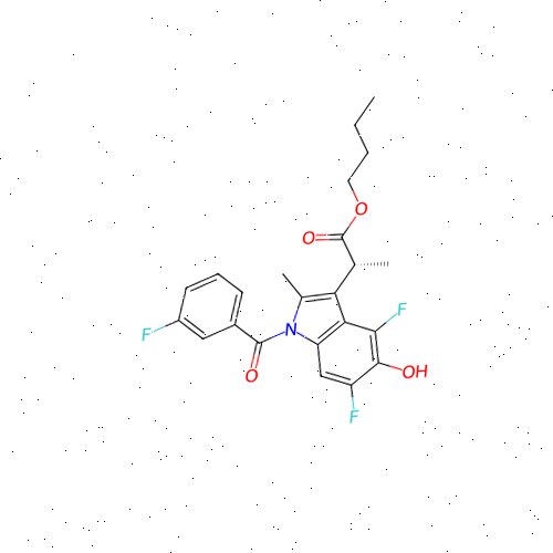 CCCCOC(=O)[C@H](C)c1c(C)n(C(=O)c2cccc(F)c2)c2cc(F)c(O)c(F)c12